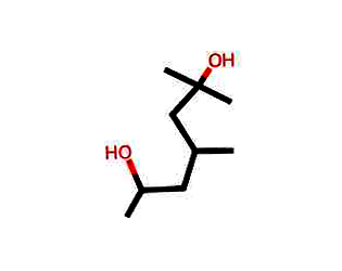 CC(O)CC(C)CC(C)(C)O